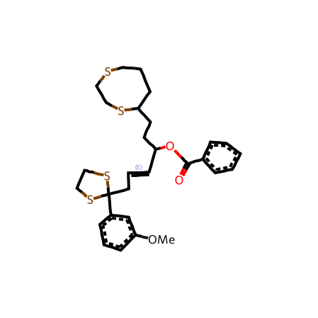 COc1cccc(C2(C/C=C/C(CCC3CCCSCCS3)OC(=O)c3ccccc3)SCCS2)c1